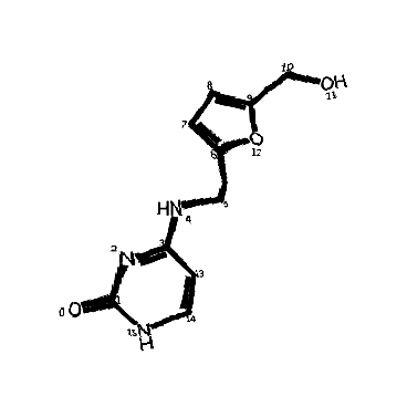 O=c1nc(NCc2ccc(CO)o2)cc[nH]1